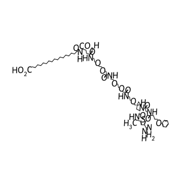 CC(NC(=O)[C@@H]1C[C@]2(COCCNC(=O)COCCOCCNC(=O)COCCOCCNC(=O)CCC(NC(=O)CCCCCCCCCCCCCCCCC(=O)O)C(=O)O)C[C@@H]2N1C(=O)CNC(=O)CCCOc1ccccc1)c1cc(C(=N)N)cs1